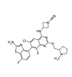 CN1CCCC1COc1nc(NC2CN(C#N)C2)c2cc(Cl)c(-c3ccc(F)c4sc(N)nc34)c(F)c2n1